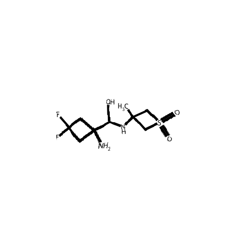 CC1(NC(O)C2(N)CC(F)(F)C2)CS(=O)(=O)C1